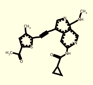 CNc1ncc(C#Cc2sc(C(C)=O)cc2C)c2cc(NC(=O)C3CC3)ncc12